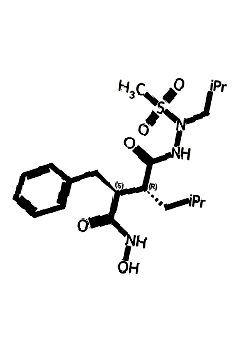 CC(C)C[C@@H](C(=O)NN(CC(C)C)S(C)(=O)=O)[C@H](Cc1ccccc1)C(=O)NO